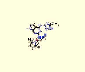 Cc1nc(Nc2nc(N[C@@H]3C[C@H]4CC[C@@H](C3)N4CCC#N)nc3[nH]ccc23)n[nH]1